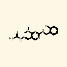 CN(C)c1nc(NCc2ccccc2Cl)ncc1/C=N/NC(N)=S